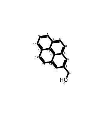 OCc1cc2ccc3cccc4ccc(c1)c2c34